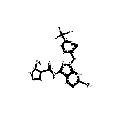 Cc1ccc2c(NC(=O)C3C=COC3C)nn(Cc3ccc(C(F)(F)F)cc3)c2n1